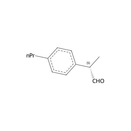 CCCc1ccc([C@H](C)C=O)cc1